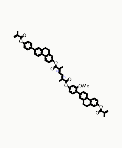 C=C(C)C(=O)Oc1ccc(-c2ccc3c(c2)CCc2cc(OC(=O)/C(C)=C/C=C(\C)C(=O)Oc4ccc(-c5ccc6c(c5)CCc5cc(OC(=O)C(=C)C)ccc5-6)c(OC)c4)ccc2-3)cc1